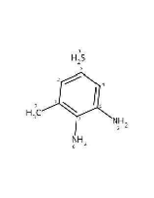 Cc1cccc(N)c1N.S